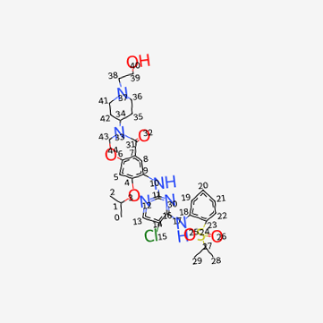 CC(C)Oc1cc2c(cc1Nc1ncc(Cl)c(Nc3ccccc3S(=O)(=O)C(C)C)n1)C(=O)N(C1CCN(CCO)CC1)CO2